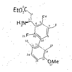 CCOC(=O)C[C@H](N)c1c(F)c(C)cc(-c2c(C)ccc(OC)c2C)c1F